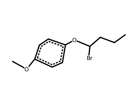 CCCC(Br)Oc1ccc(OC)cc1